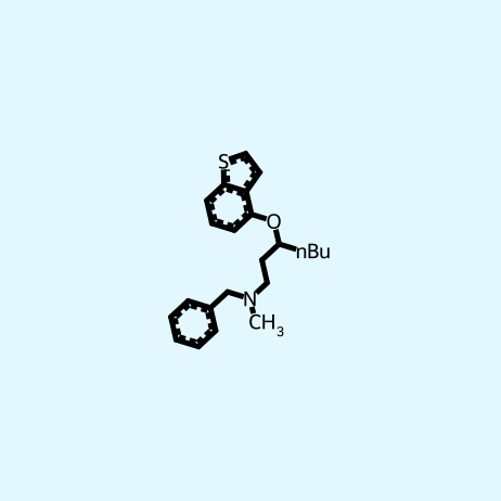 CCCCC(CCN(C)Cc1ccccc1)Oc1cccc2sccc12